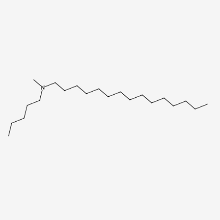 CCCCCCCCCCCCCCCN(C)CCCCC